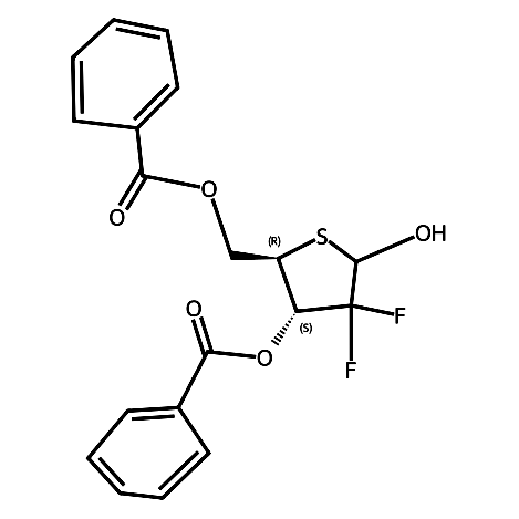 O=C(OC[C@H]1SC(O)C(F)(F)[C@@H]1OC(=O)c1ccccc1)c1ccccc1